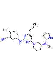 CCCc1cc(N2CCC[C@H](N(C)c3ccc[nH]3)C2)nc(Nc2ccc(C)c(C#N)c2)n1